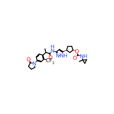 CC(C(=O)Nc1cc([C@H]2CC[C@@H](OC(=O)NC3(C)CC3)C2)[nH]n1)c1ccc(N2CCCC2=O)cc1C(F)(F)F